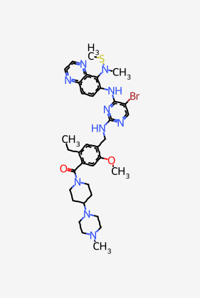 CCc1cc(CNc2ncc(Br)c(Nc3ccc4nccnc4c3N(C)SC)n2)c(OC)cc1C(=O)N1CCC(N2CCN(C)CC2)CC1